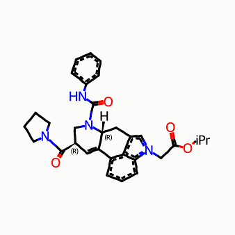 CC(C)OC(=O)Cn1cc2c3c(cccc31)C1=C[C@@H](C(=O)N3CCCC3)CN(C(=O)Nc3ccccc3)[C@@H]1C2